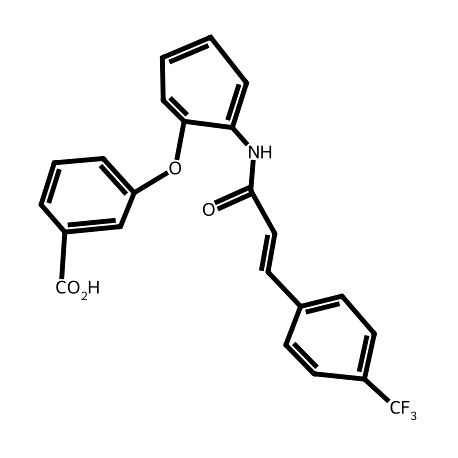 O=C(C=Cc1ccc(C(F)(F)F)cc1)Nc1ccccc1Oc1cccc(C(=O)O)c1